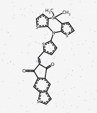 C[Si]1(C)c2ccsc2N(c2ccc(/C=C3\C(=O)c4cc5ccsc5cc4C3=O)s2)c2sccc21